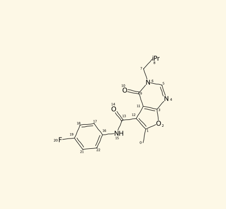 Cc1oc2ncn(CC(C)C)c(=O)c2c1C(=O)Nc1ccc(F)cc1